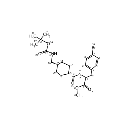 COC(=O)C(Cc1ccc(Br)cc1)NC(=O)[C@H]1CC[C@H](CNC(=O)OC(C)(C)C)CC1